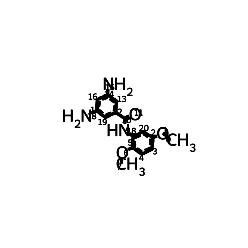 COc1ccc(OC)c(NC(=O)c2cc(N)cc(N)c2)c1